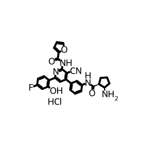 Cl.N#Cc1c(-c2cccc(NC(=O)[C@H]3CCC[C@H]3N)c2)cc(-c2ccc(F)cc2O)nc1NC(=O)c1ccco1